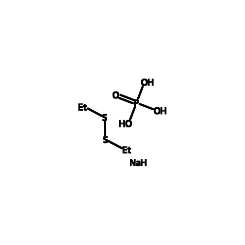 CCSSCC.O=P(O)(O)O.[NaH]